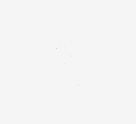 CC(C)(C)OC(=O)N[C@H](CBr)CCOC(F)(F)F